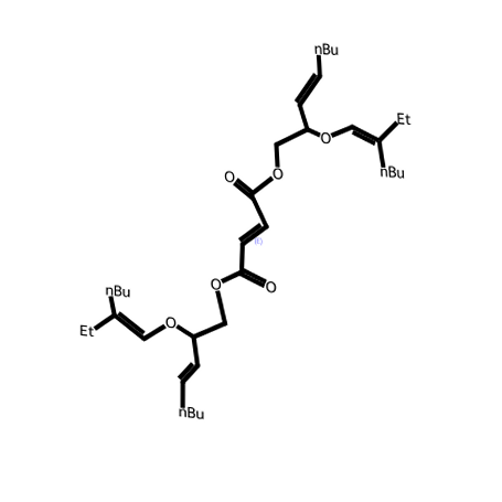 CCCCC=CC(COC(=O)/C=C/C(=O)OCC(C=CCCCC)OC=C(CC)CCCC)OC=C(CC)CCCC